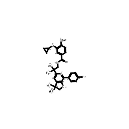 COc1ccc(C(=O)NCC(O)(c2cc3c(c(-c4ccc(F)cc4)n2)OCC3(C)N)C(F)(F)F)cc1OC1CC1